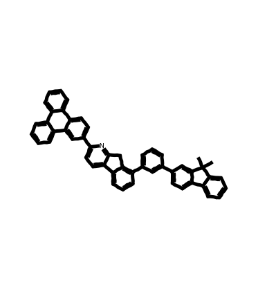 CC1(C)c2ccccc2-c2ccc(-c3cccc(-c4cccc5c4Cc4nc(-c6ccc7c8ccccc8c8ccccc8c7c6)ccc4-5)c3)cc21